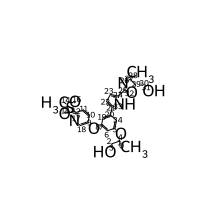 C[C@@H](CO)Oc1cc(Oc2ccc(S(C)(=O)=O)nc2)cc(-c2ccc(C3=N[C@H](C)[C@H](CO)O3)[nH]2)c1